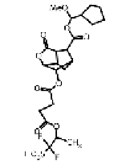 COC(OC(=O)C1C2CC3C(OC(=O)C31)C2OC(=O)CCC(=O)OC(C)C(F)(F)S(=O)(=O)O)C1CCCC1